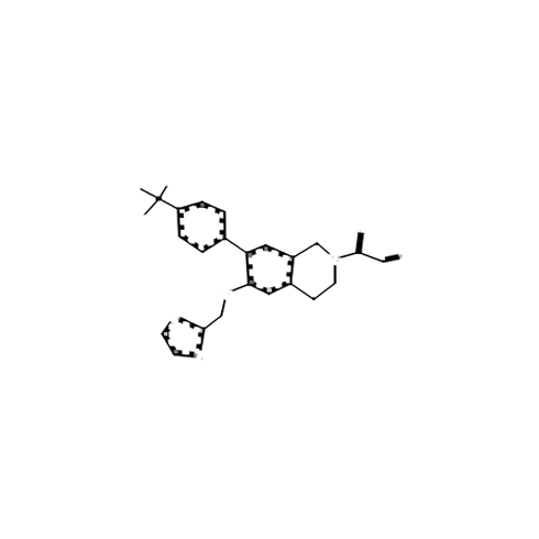 C=CC(=O)N1CCc2cc(NCc3nccs3)c(-c3ccc(C(F)(F)F)cc3)cc2C1